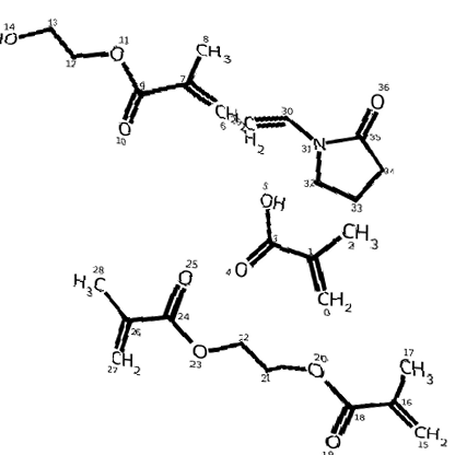 C=C(C)C(=O)O.C=C(C)C(=O)OCCO.C=C(C)C(=O)OCCOC(=O)C(=C)C.C=CN1CCCC1=O